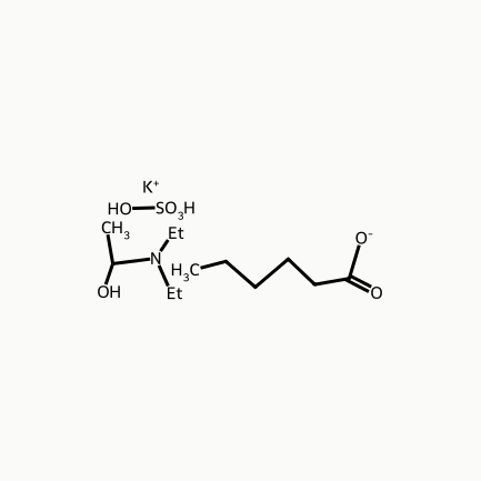 CCCCCC(=O)[O-].CCN(CC)C(C)O.O=S(=O)(O)O.[K+]